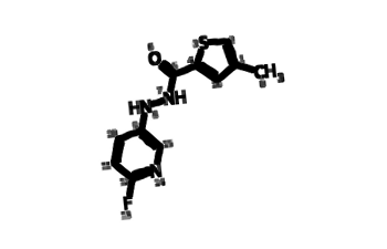 Cc1csc(C(=O)NNc2ccc(F)nc2)c1